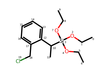 CCO[Si](OCC)(OCC)C(C)c1ccccc1CCl